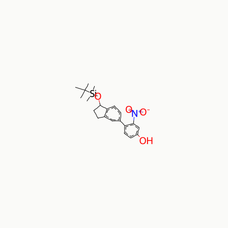 CC(C)(C)[Si](C)(C)OC1CCc2cc(-c3ccc(O)cc3[N+](=O)[O-])ccc21